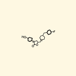 O=C1OC(CN2CCC(Cc3ccc(F)cc3)CC2)CN1c1ccc(O)cc1